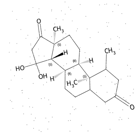 CC1CC(=O)CC2CC[C@@H]3[C@@H](CC[C@]4(C)C(=O)CC(O)(O)[C@@H]34)[C@@]12C